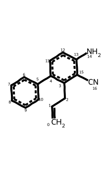 C=CCc1c(-c2ccccc2)ccc(N)c1C#N